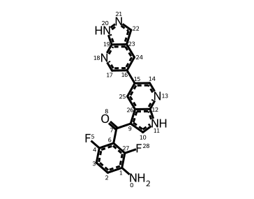 Nc1ccc(F)c(C(=O)c2c[nH]c3ncc(-c4cnc5[nH]ncc5c4)cc23)c1F